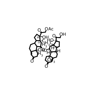 CC(=O)OCC(=O)[C@@]1(O)CCC2C3CCC4=CC(=O)CC[C@]4(C)C3C(=O)C[C@@]21C.C[C@]12CCC(=O)C=C1CC[C@@H]1[C@@H]2[C@@H](O)C[C@@]2(C)[C@H]1CC[C@]2(O)C(=O)CO